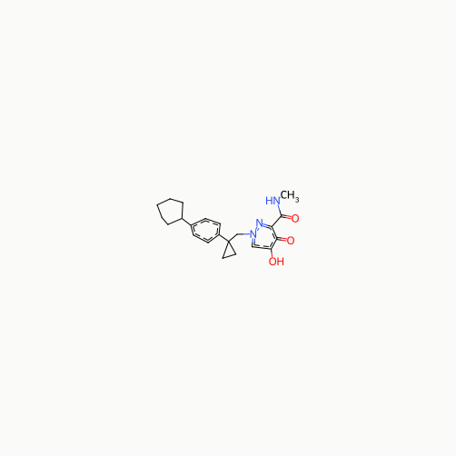 CNC(=O)c1nn(CC2(c3ccc(C4CCCCC4)cc3)CC2)cc(O)c1=O